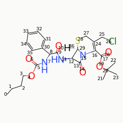 CCCCOC(=O)NC(C(=O)N[C@@H]1C(=O)N2C(C(=O)OC(C)(C)C)=C(CCl)CS[C@H]12)c1ccccc1